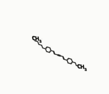 CCCCCCC1CCC(C=CC#CC=CC2CCC(CCC)CC2)CC1